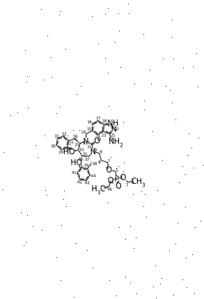 CCOP(=O)(COCCCN1C(=O)N(Cc2ccc3[nH]nc(N)c3c2)[C@H](Cc2ccccc2)[C@H](O)[C@@H](O)[C@H]1Cc1ccccc1)OCC